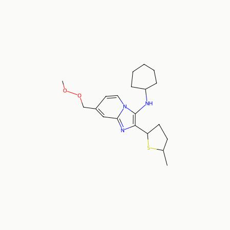 COOCc1ccn2c(NC3CCCCC3)c(C3CCC(C)S3)nc2c1